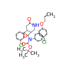 C=CCOc1ccc(I)cc1[C@H]1NC(=O)C[C@H](c2cccc(Cl)c2)[C@]12C(=O)N(C(=O)OC(C)(C)C)c1cc(Cl)ccc12